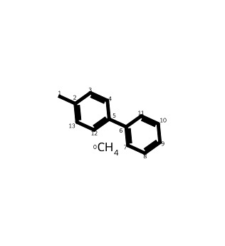 C.Cc1ccc(-c2ccccc2)cc1